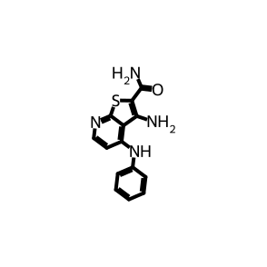 NC(=O)c1sc2nccc(Nc3ccccc3)c2c1N